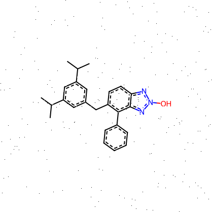 CC(C)c1cc(Cc2ccc3nn(O)nc3c2-c2ccccc2)cc(C(C)C)c1